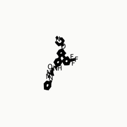 CN1CCC(Oc2ccc(-c3ccc(NC(=O)c4cn(Cc5ccccc5)nn4)cc3)c(-c3cccc(C(F)(F)F)c3)c2)CC1